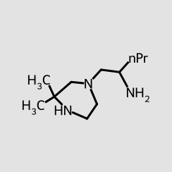 CCCC(N)CN1CCNC(C)(C)C1